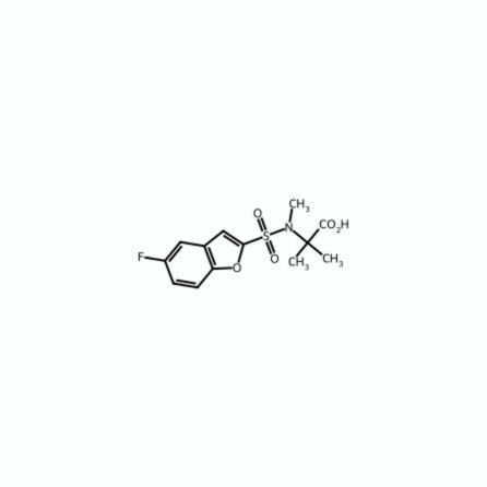 CN(C(C)(C)C(=O)O)S(=O)(=O)c1cc2cc(F)ccc2o1